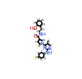 Cc1cnc(Nc2ccc(F)cc2)nc1-n1ccc(C(=O)NCCc2ccccc2O)c1